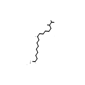 CCCCC(C)C(C)C[C@H](C)CCC[C@H](C)CCCCCCC[C@@H](C)NCCC